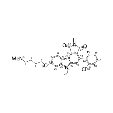 CNCCCCOc1ccc2c3c4c(c(-c5ccccc5Cl)cc3n(C)c2c1)C(=O)NC4=O